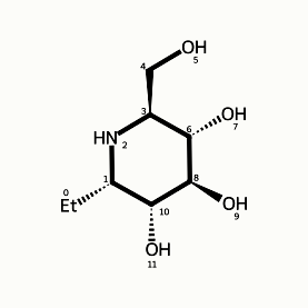 CC[C@@H]1N[C@@H](CO)[C@H](O)[C@@H](O)[C@@H]1O